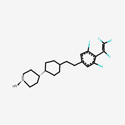 CCC[Si@H]1CC[C@H](C2CCC(CCc3cc(F)c(C(F)=C(F)F)c(F)c3)CC2)CC1